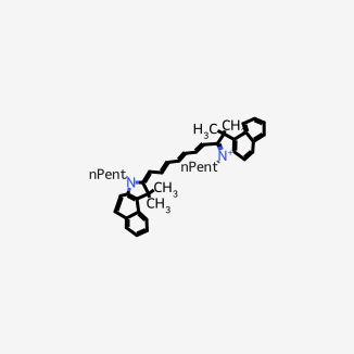 CCCCCN1C(=CC=CC=CC=CC2=[N+](CCCCC)c3ccc4ccccc4c3C2(C)C)C(C)(C)c2c1ccc1ccccc21